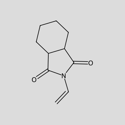 C=CN1C(=O)C2CCCCC2C1=O